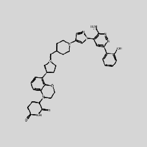 Nc1nnc(-c2ccccc2O)cc1-n1cc(N2CCC(CN3CC[C@@H](c4cccc5c4OCCN5C4CCC(=O)NC4=O)C3)CC2)cn1